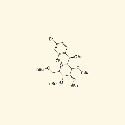 CCCCOCC1O[C@H]([C@H](OC(C)=O)c2ccc(Br)cc2C(F)(F)F)C(OCCCC)[C@@H](OCCCC)[C@@H]1OCCCC